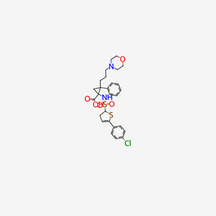 O=C(O)C1(NS(=O)(=O)C2CC=C(c3ccc(Cl)cc3)S2)CC1(CCCN1CCOCC1)c1ccccc1